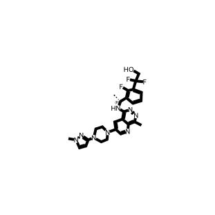 Cc1nnc(N[C@H](C)c2cccc(C(F)(F)CO)c2F)c2cc(N3CCN(c4ccn(C)n4)CC3)cnc12